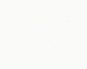 O=C(Nc1cc(Br)ccc1-c1ccc(Br)cc1)c1ccc(Br)cc1